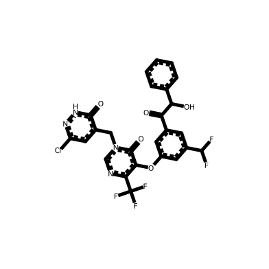 O=C(c1cc(Oc2c(C(F)(F)F)ncn(Cc3cc(Cl)n[nH]c3=O)c2=O)cc(C(F)F)c1)C(O)c1ccccc1